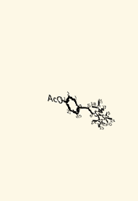 CC(=O)Oc1ccc(CC[Si]([Si](C)(C)C)([Si](C)(C)C)[Si](C)(C)C)cc1